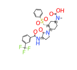 CN(C(=O)O)[C@@H]1CC[C@H](N2CC[C@H](NC(=O)c3cccc(C(F)(F)F)c3)C2=O)[C@H](CS(=O)(=O)c2ccccc2)C1